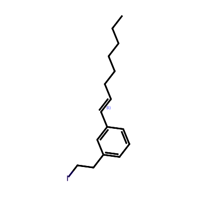 CCCCCC/C=C/c1cccc(CCI)c1